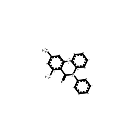 Cc1cc(C)c(C(=O)P(c2ccccc2)c2ccccc2)c(C)c1